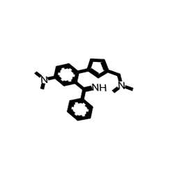 CN(C)CC1=CCC(c2ccc(N(C)C)cc2C(=N)c2ccccc2)=C1